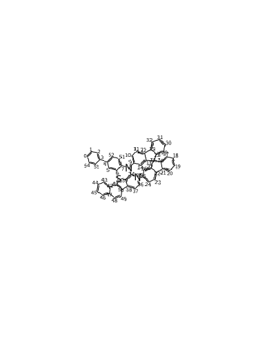 c1ccc(-c2ccc(N(c3ccc4c(c3)C3(c5ccccc5-c5ccccc53)c3ccccc3-4)c3nccc4c3sc3c5ccccc5ccc43)cc2)cc1